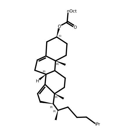 CCCCCCCCC(=O)O[C@H]1CC[C@@]2(C)C(=CC[C@H]3C4=CC[C@H]([C@H](C)CCCC(C)C)[C@@]4(C)CCC32)C1